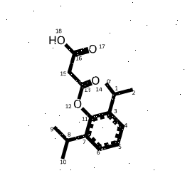 CC(C)c1cccc(C(C)C)c1OC(=O)CC(=O)O